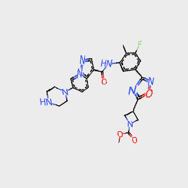 COC(=O)N1CC(c2nc(-c3cc(F)c(C)c(NC(=O)c4cnn5cc(N6CCNCC6)ccc45)c3)no2)C1